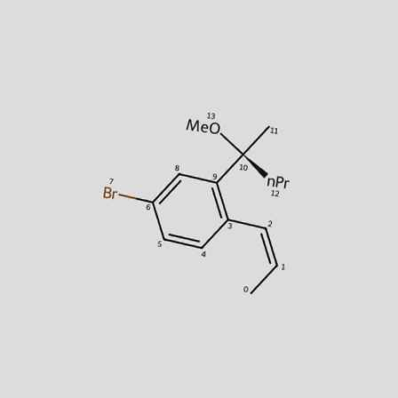 C/C=C\c1ccc(Br)cc1[C@](C)(CCC)OC